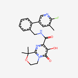 Cc1cc(-c2ccccc2CNC(=O)c2nc3n(c(=O)c2O)CCOC3(C)C)cnc1F